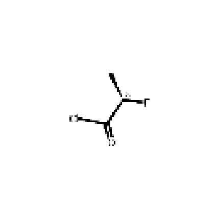 C[C@@H](F)C(=O)Cl